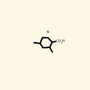 CC1CCC(C(=O)O)C(C)C1.[Tl]